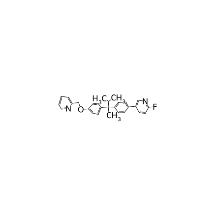 CC(C)C(C)(c1ccc(OCc2ccccn2)cc1)c1ccc(-c2ccc(F)nc2)cc1